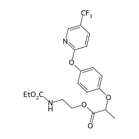 CCOC(=O)NCCOC(=O)C(C)Oc1ccc(Oc2ccc(C(F)(F)F)cn2)cc1